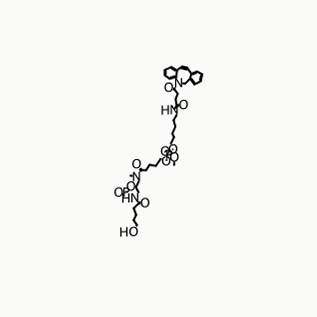 COP(=O)(OCCCCCCNC(=O)CCC(=O)N1Cc2ccccc2C#Cc2ccccc21)OCCCCC(=O)N(C)CC(CNC(=O)CCCCO)OP=O